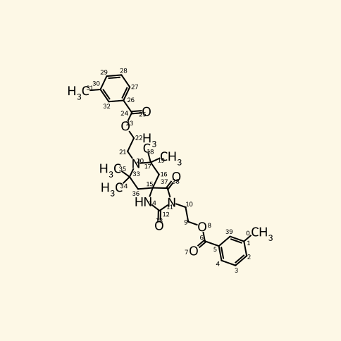 Cc1cccc(C(=O)OCCN2C(=O)NC3(CC(C)(C)N(CCOC(=O)c4cccc(C)c4)C(C)(C)C3)C2=O)c1